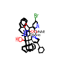 COc1ncc(Br)cc1C(c1ccccc1)C(O)(CC(N(C)C)C(c1ccccc1)(c1cc(C2=CCCCC2)cnc1OC)C(O)(CCN(C)C)c1cccc2ccccc12)c1cccc2ccccc12